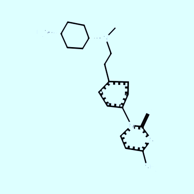 CN(CCc1ccc(-n2ccc(N)nc2=O)cc1)[C@H]1CC[C@@H](N)CC1